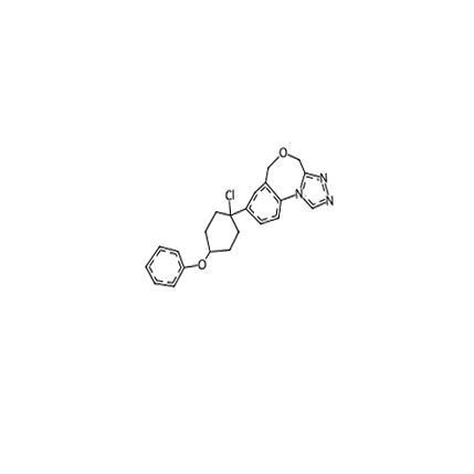 ClC1(c2ccc3c(c2)COCc2nncn2-3)CCC(Oc2ccccc2)CC1